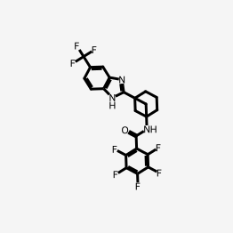 O=C(NC12CCCC(c3nc4cc(C(F)(F)F)ccc4[nH]3)(C1)C2)c1c(F)c(F)c(F)c(F)c1F